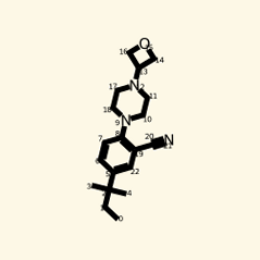 CCC(C)(C)c1ccc(N2CCN(C3COC3)CC2)c(C#N)c1